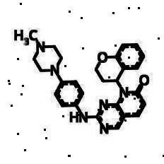 CN1CCN(c2ccc(Nc3ncc4ccc(=O)n(C5CCOc6ccccc65)c4n3)cc2)CC1